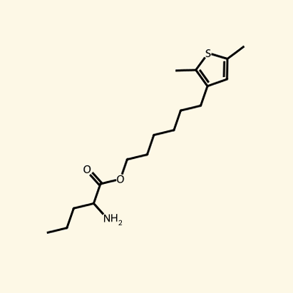 CCCC(N)C(=O)OCCCCCCc1cc(C)sc1C